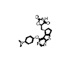 CN(C)[C@H]1CC[C@H](Oc2ncnc3sc4c(c23)[C@@H](CC2OC(=O)NC2=O)CC4)CC1